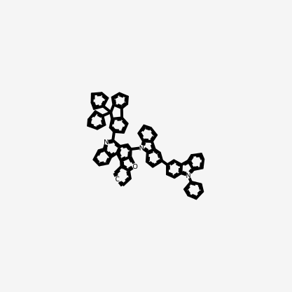 c1ccc(-n2c3ccccc3c3cc(-c4ccc5c(c4)c4ccccc4n5-c4cc5c(-c6ccc7c(c6)C(c6ccccc6)(c6ccccc6)c6ccccc6-7)nc6ccccc6c5c5c4oc4ccccc45)ccc32)cc1